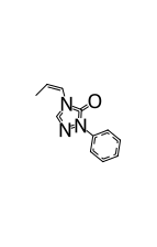 C/C=C\n1cnn(-c2ccccc2)c1=O